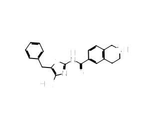 Cc1nc(NC(=O)c2ccc3c(c2)CCNC3)sc1Cc1ccccc1